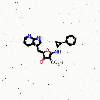 O=C(O)C1=C(N[C@@H]2C[C@H]2c2ccccc2)O/C(=C\c2c[nH]c3ncccc23)C1=O